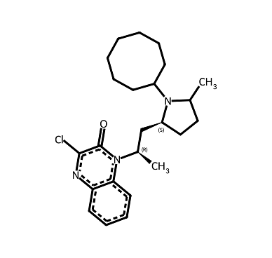 CC1CC[C@@H](C[C@@H](C)n2c(=O)c(Cl)nc3ccccc32)N1C1CCCCCCC1